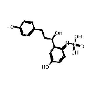 O=P(O)(O)/N=C1\C=CC(O)=CC1C(O)CCc1ccc(O)cc1